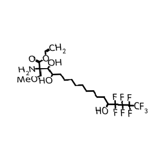 C=COC(=O)C(N)(COC)C(O)C(O)CCCCCCCCCC(O)C(F)(F)C(F)(F)C(F)(F)C(F)(F)F